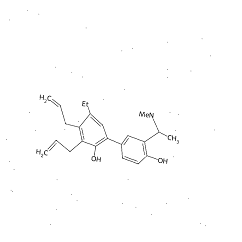 C=CCc1c(CC)cc(-c2ccc(O)c(C(C)NC)c2)c(O)c1CC=C